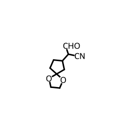 N#CC(C=O)C1CCC2(C1)OCCO2